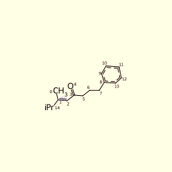 C/C(=C\C(=O)CCCc1ccccc1)C(C)C